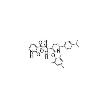 Cc1cc(C)c(Oc2nc(-c3ccc(C(C)C)cc3)ccc2C(O)NS(=O)(=O)c2ccc[nH]c2=O)c(C)c1